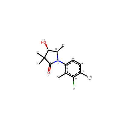 Cc1c(N2C(=O)C(C)(C)[C@@H](O)[C@H]2C)ccc(C#N)c1Cl